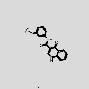 COc1cccc(NC(=O)c2c[nH]c3ccccc3c2=O)c1